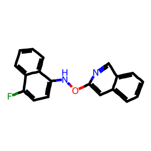 Fc1ccc(NOc2cc3ccccc3cn2)c2ccccc12